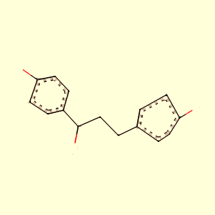 Oc1ccc(CCC(O)c2ccc(O)cc2)cc1